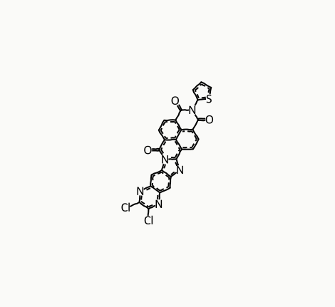 O=C1c2ccc3c(=O)n4c5cc6nc(Cl)c(Cl)nc6cc5nc4c4ccc(c2c34)C(=O)N1c1cccs1